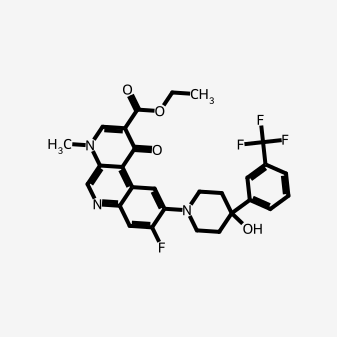 CCOC(=O)c1cn(C)c2cnc3cc(F)c(N4CCC(O)(c5cccc(C(F)(F)F)c5)CC4)cc3c2c1=O